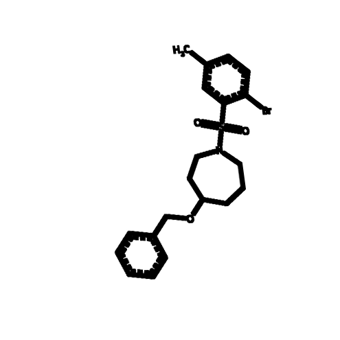 Cc1ccc(Br)c(S(=O)(=O)N2CCCC(OCc3ccccc3)CC2)c1